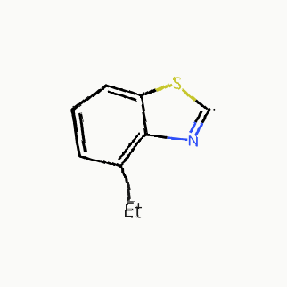 CCc1cccc2s[c]nc12